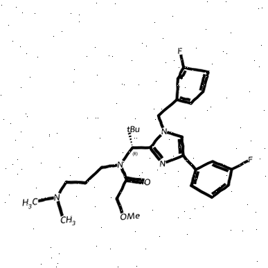 COCC(=O)N(CCCN(C)C)[C@@H](c1nc(-c2cccc(F)c2)cn1Cc1cccc(F)c1)C(C)(C)C